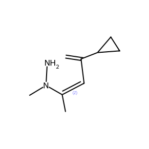 C=C(/C=C(/C)N(C)N)C1CC1